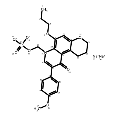 CCCOc1cc2c(c3c(=O)c(-c4ccc(OC)cc4)cn(COP(=O)([O-])[O-])c13)CCCO2.[Na+].[Na+]